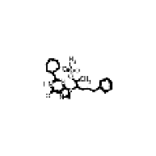 CC(OS(C)(=O)=O)C(CCCc1ccccc1)n1cnc2c(=O)[nH]c(C3CCCCC3)nc21